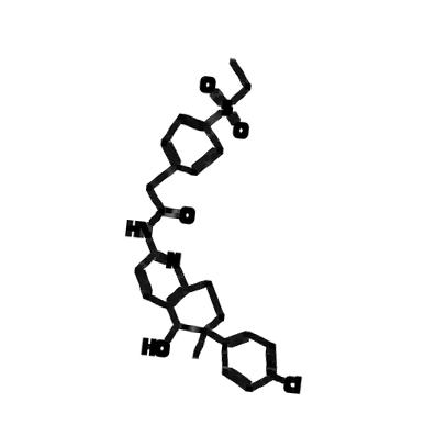 CCS(=O)(=O)c1ccc(CC(=O)Nc2ccc3c(n2)CCC(C)(c2ccc(Cl)cc2)C3O)cc1